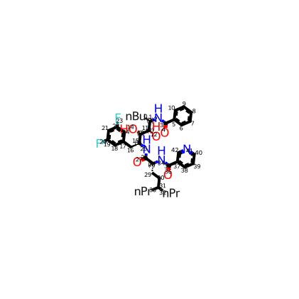 CCCC[C@@H](NC(=O)c1ccccc1)[C@@H](O)[C@H](O)[C@H](Cc1cc(F)cc(F)c1)NC(=O)[C@@H](CCC(CCC)CCC)NC(=O)c1cccnc1